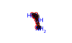 NC(=O)C1(CC(F)COCCOCCNC(=O)COc2cccc3c2C(=O)N(C2CCC(=O)NC2=O)C3=O)C=CC=NC1